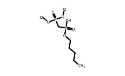 CCCCCOP(=O)(O)CP(=O)(OCl)OCl